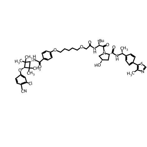 Cc1ncsc1-c1ccc([C@H](C)NC(=O)[C@@H]2C[C@@H](O)CN2C(=O)[C@@H](NC(=O)COCCCCCOc2ccc(C(=O)N[C@H]3C(C)(C)[C@H](Oc4ccc(C#N)c(Cl)c4)C3(C)C)cc2)C(C)(C)C)cc1